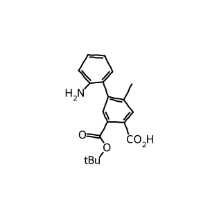 Cc1cc(C(=O)O)c(C(=O)OC(C)(C)C)cc1-c1ccccc1N